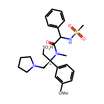 COc1cccc([C@](CN2CCCC2)(CS(=O)(=O)O)N(C)C(=O)C(NS(C)(=O)=O)c2ccccc2)c1